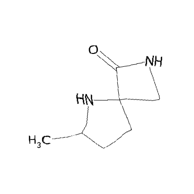 CC1CCC2(CNC2=O)N1